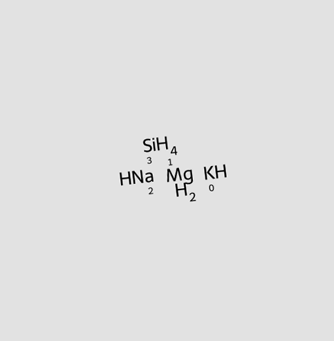 [KH].[MgH2].[NaH].[SiH4]